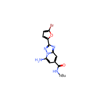 CCCCNC(=O)c1cc(N)n2nc(-c3ccc(Br)o3)nc2c1